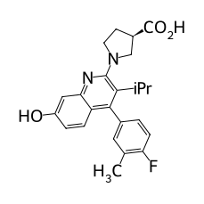 Cc1cc(-c2c(C(C)C)c(N3CC[C@@H](C(=O)O)C3)nc3cc(O)ccc23)ccc1F